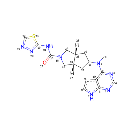 CN(c1ncnc2[nH]ccc12)C1C[C@@H]2CN(C(=O)Nc3nncs3)C[C@@H]2C1